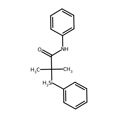 CC(C)([SiH2]c1ccccc1)C(=O)Nc1ccccc1